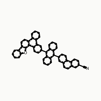 N#Cc1ccc2c(ccc3cc(-c4c5ccccc5c(-c5ccc6c(c5)c5ccccc5c5ccc7c8ccccc8oc7c56)c5ccccc45)ccc32)c1